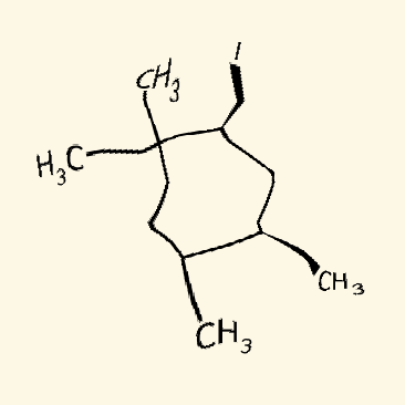 CC1CC(C)(C)[C@@H](I)C[C@H]1C